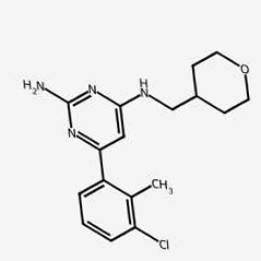 Cc1c(Cl)cccc1-c1cc(NCC2CCOCC2)nc(N)n1